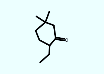 CCC1CCC(C)(C)CC1=O